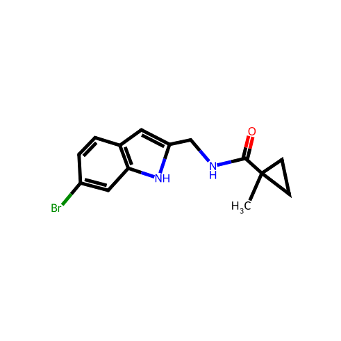 CC1(C(=O)NCc2cc3ccc(Br)cc3[nH]2)CC1